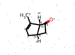 CC1=CC[C@H]2CC(=O)[C@@H]12